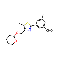 Cc1cc(C=O)cc(-c2nc(COC3CCCCO3)c(C)s2)c1